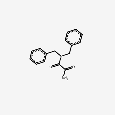 NC(=O)C(=O)N(Cc1ccccc1)Cc1ccccc1